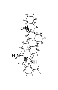 CC(C)c1cccc(C(C)C)c1NC(=O)c1ccc2c3cccc4c(Cc5ccccc5[N+](=O)[O-])ccc(c5ccc(C(N)=O)c1c52)c43